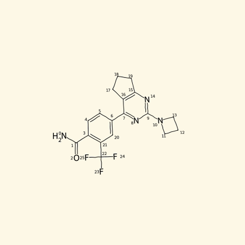 NC(=O)c1ccc(-c2nc(N3CCC3)nc3c2CCC3)cc1C(F)(F)F